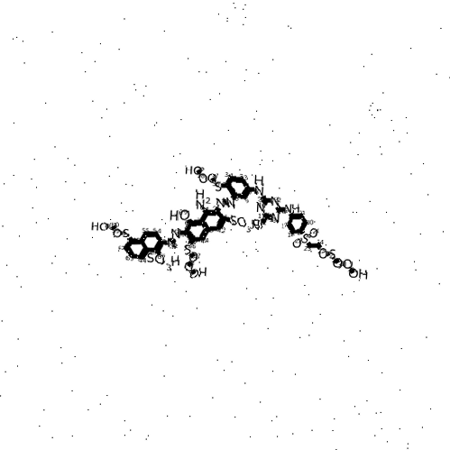 Nc1c(/N=N/c2cc(Nc3nc(Cl)nc(Nc4ccc(S(=O)(=O)CCOSOOO)cc4)n3)ccc2SOOO)c(S(=O)(=O)O)cc2cc(SOOO)c(/N=N/c3ccc4c(SOOO)cccc4c3S(=O)(=O)O)c(O)c12